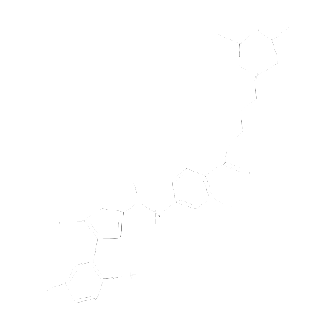 CC1CN(CCCOC(=O)c2ccc(N[S+]([O-])c3cc(-c4cc(F)ccc4O)c(Cl)s3)cc2O)CC(C)O1